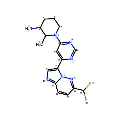 CC1C(N)CCCN1c1cc(-c2cnc3ccc(C(F)F)nn23)ncn1